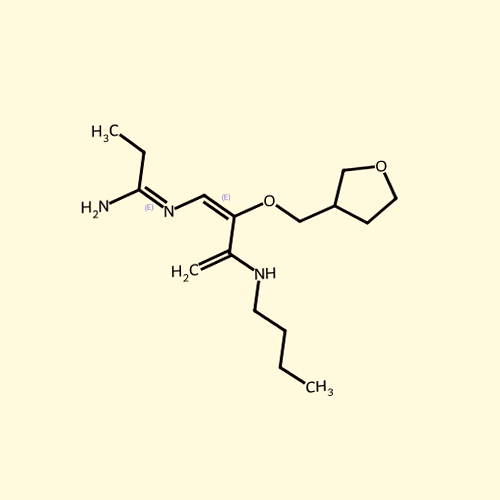 C=C(NCCCC)/C(=C\N=C(\N)CC)OCC1CCOC1